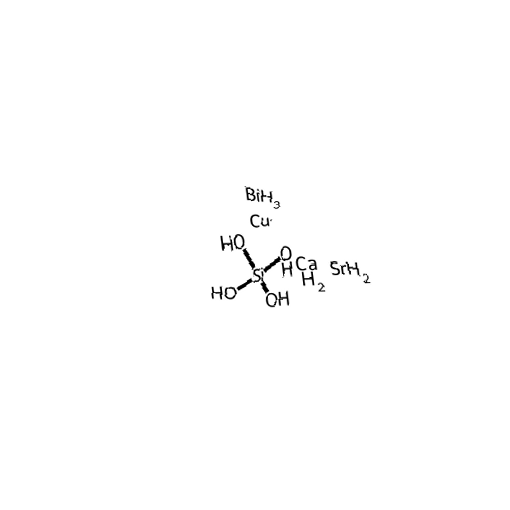 O[Si](O)(O)O.[BiH3].[CaH2].[Cu].[SrH2]